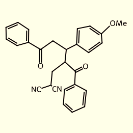 COc1ccc(C(CC(=O)c2ccccc2)C(CC(C#N)C#N)C(=O)c2ccccc2)cc1